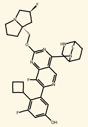 Oc1cc(F)c(C2CCC2)c(-c2ncc3c(N4CC5CCC4CN5)nc(OC[C@]45CCCN4C[C@@H](F)C5)nc3c2F)c1